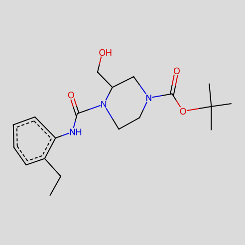 CCc1ccccc1NC(=O)N1CCN(C(=O)OC(C)(C)C)CC1CO